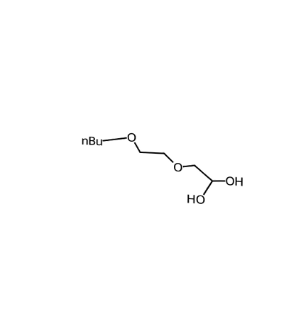 CCCCOCCOCC(O)O